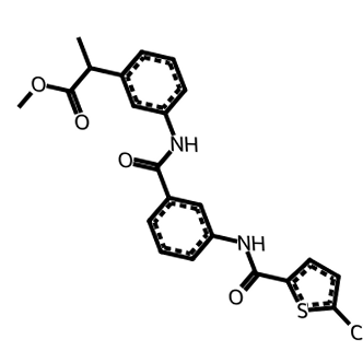 COC(=O)C(C)c1cccc(NC(=O)c2cccc(NC(=O)c3ccc(Cl)s3)c2)c1